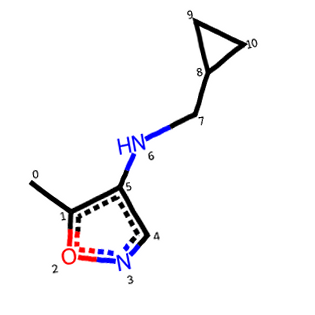 Cc1oncc1NCC1CC1